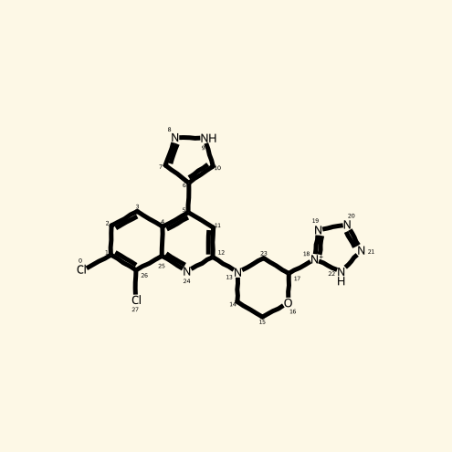 Clc1ccc2c(-c3cn[nH]c3)cc(N3CCOC([n+]4nnn[nH]4)C3)nc2c1Cl